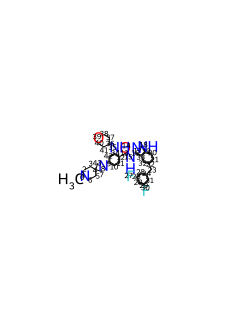 CN1CCC2(CC1)CN(c1ccc(C(=O)Nc3n[nH]c4ccc(Cc5cc(F)cc(F)c5)cc34)c(NC3CCOCC3)c1)C2